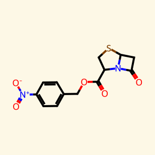 O=C(OCc1ccc([N+](=O)[O-])cc1)C1CSC2CC(=O)N21